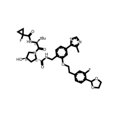 Cc1ncsc1-c1ccc(CNC(=O)[C@@H]2C[C@@H](O)CN2C(=O)[C@@H](NC(=O)C2(F)CC2)C(C)(C)C)c(OCCc2ccc(C3OCCO3)c(F)c2)c1